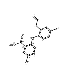 C=CCc1cc(F)ccc1Nc1cnc(C(F)(F)F)cc1C(=O)OC